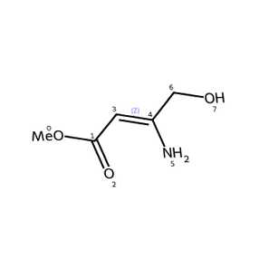 COC(=O)/C=C(\N)CO